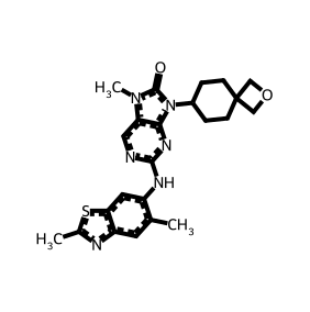 Cc1nc2cc(C)c(Nc3ncc4c(n3)n(C3CCC5(CC3)COC5)c(=O)n4C)cc2s1